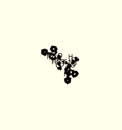 CC(C)(C)OC(=O)N[C@@H](CSSC[C@H](NC(=O)OC(C)(C)C)C(=O)N1CCn2nc(-c3ccccc3)cc2[C@H]1CC1CCCCC1)C(=O)N1CCn2nc(-c3ccccc3)cc2[C@H]1CC1CCCCC1